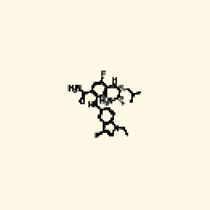 CCn1nc(F)c2cc(Nc3nc(N[C@H](CC(C)C)[C@H](C)N)c(F)cc3C(N)=O)ccc21